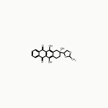 CC1OCC([C@@]2(O)CCc3c(O)c4c(c(O)c3C2)C(=O)c2ccccc2C4=O)O1